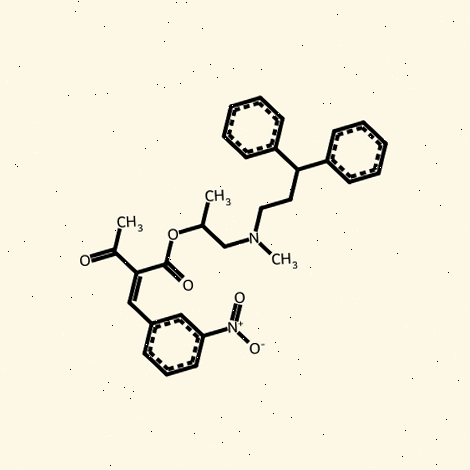 CC(=O)C(=Cc1cccc([N+](=O)[O-])c1)C(=O)OC(C)CN(C)CCC(c1ccccc1)c1ccccc1